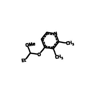 CCC(OC)Oc1ccnc(C)c1C